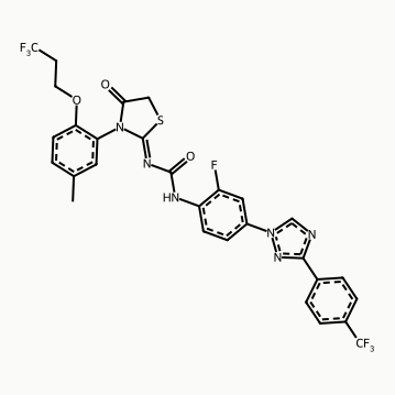 Cc1ccc(OCCC(F)(F)F)c(N2C(=O)CSC2=NC(=O)Nc2ccc(-n3cnc(-c4ccc(C(F)(F)F)cc4)n3)cc2F)c1